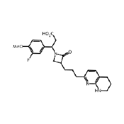 COc1ccc(C(CC(=O)O)N2CC(CCCc3ccc4c(n3)NCCC4)C2=O)cc1F